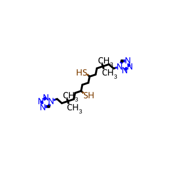 CC(C)(CCC(S)CCC(S)CCC(C)(C)CCn1cnnn1)CCn1cnnn1